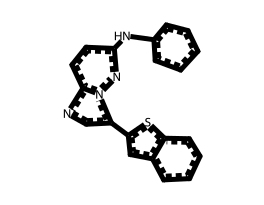 c1ccc(Nc2ccc3ncc(-c4cc5ccccc5s4)n3n2)cc1